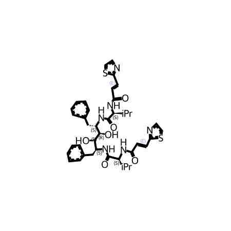 CC(C)[C@H](NC(=O)/C=C/c1nccs1)C(=O)N[C@@H](Cc1ccccc1)[C@@H](O)[C@H](O)[C@H](Cc1ccccc1)NC(=O)[C@@H](NC(=O)/C=C/c1nccs1)C(C)C